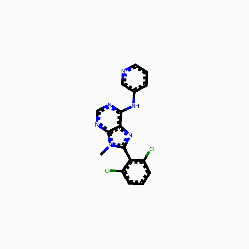 Cn1c(-c2c(Cl)cccc2Cl)nc2c(Nc3cccnc3)ncnc21